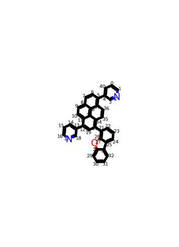 c1cncc(-c2ccc3ccc4c(-c5cccnc5)cc(-c5cccc6c5oc5ccccc56)c5ccc2c3c45)c1